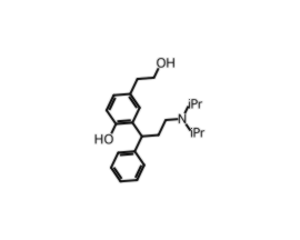 CC(C)N(CCC(c1ccccc1)c1cc(CCO)ccc1O)C(C)C